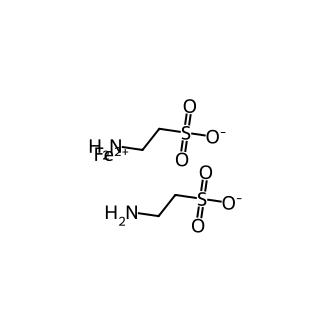 NCCS(=O)(=O)[O-].NCCS(=O)(=O)[O-].[Fe+2]